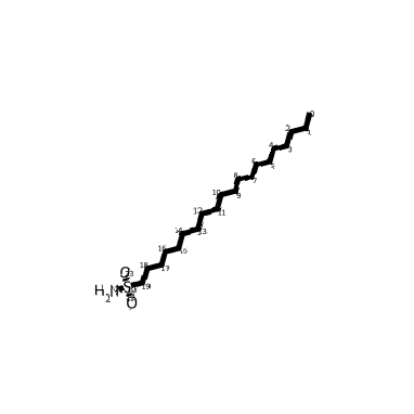 CCCCCCCCCCCCCCCCCCCCS(N)(=O)=O